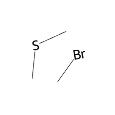 CBr.CSC